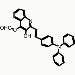 O=COc1c(O)c(/C=C/c2ccc(N(c3ccccc3)c3ccccc3)cc2)nc2ccccc12